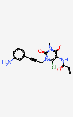 C=CC(=O)Nc1c(Cl)n(CC#Cc2cccc(N)c2)c(=O)n(C)c1=O